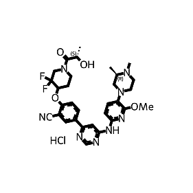 COc1nc(Nc2cc(-c3ccc(OC4CCN(C(=O)[C@H](C)O)CC4(F)F)c(C#N)c3)ncn2)ccc1N1CCN(C)[C@H](C)C1.Cl